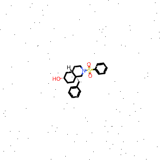 O=S(=O)(c1ccccc1)N1CC[C@H]2C[C@@H](O)CC[C@]2(Cc2ccccc2)C1